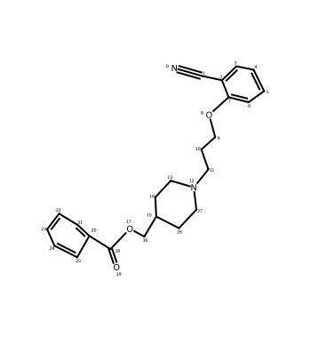 N#Cc1ccccc1OCCCN1CCC(COC(=O)c2ccccc2)CC1